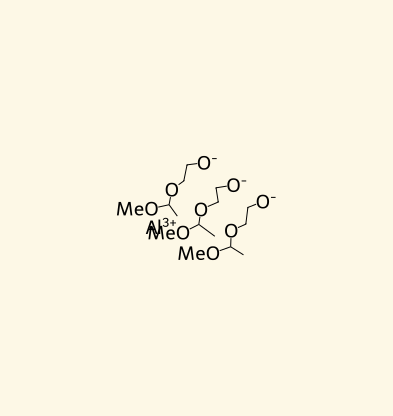 COC(C)OCC[O-].COC(C)OCC[O-].COC(C)OCC[O-].[Al+3]